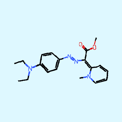 CCN(CC)c1ccc(N=N/C(C(=O)OC)=C2/C=CC=CN2C)cc1